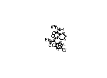 CC[C@H](C(=O)O)[C@H](C(=O)N1CCCC[C@H]1C(=O)NC(C)C)c1ccc(Cl)cc1